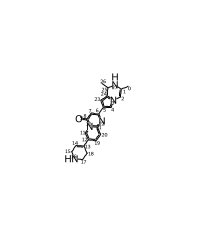 CC1=Cn2cc(-c3cc(=O)n4cc(C5=CCNCC5)ccc4n3)cc2C(C)N1